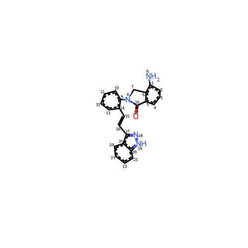 Nc1cccc2c1CN(c1ccccc1C=Cc1n[nH]c3ccccc13)C2=O